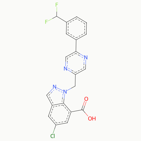 O=C(O)c1cc(Cl)cc2cnn(Cc3cnc(-c4cccc(C(F)F)c4)cn3)c12